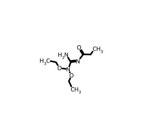 CCON(OCC)C(N)=NC(=O)CC